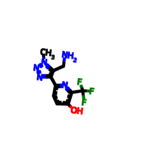 Cn1nnc(-c2ccc(O)c(C(F)(F)F)n2)c1CN